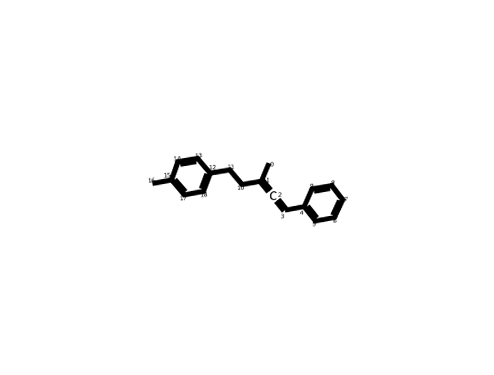 CC(=C=Cc1ccccc1)CCc1ccc(C)cc1